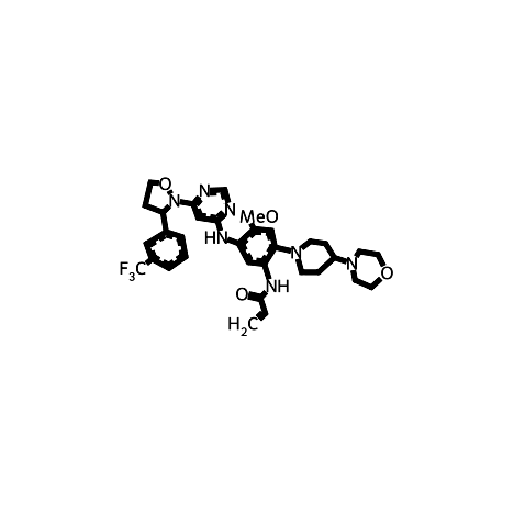 C=CC(=O)Nc1cc(Nc2cc(N3OCCC3c3cccc(C(F)(F)F)c3)ncn2)c(OC)cc1N1CCC(N2CCOCC2)CC1